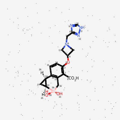 O=C(O)c1c(OC2CN(Cc3nc[nH]n3)C2)ccc2c1C[B-](O)(O)[C@H]1C[C@@H]21